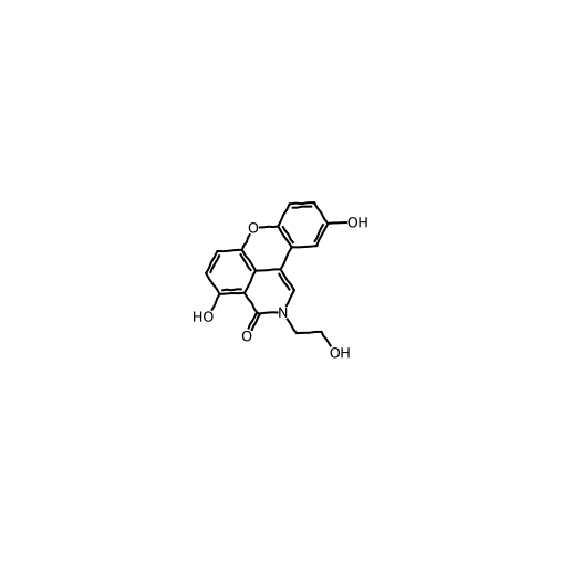 O=c1c2c(O)ccc3c2c(cn1CCO)-c1cc(O)ccc1O3